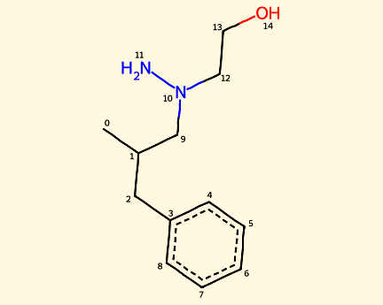 CC(Cc1ccccc1)CN(N)CCO